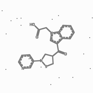 O=C(O)Cn1cc(C(=O)C2CSN(c3cccnc3)C2)c2ccccc21